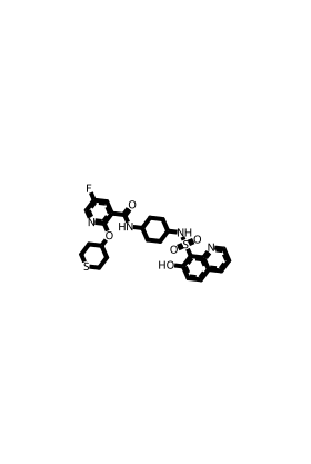 O=C(NC1CCC(NS(=O)(=O)c2c(O)ccc3cccnc23)CC1)c1cc(F)cnc1OC1CCSCC1